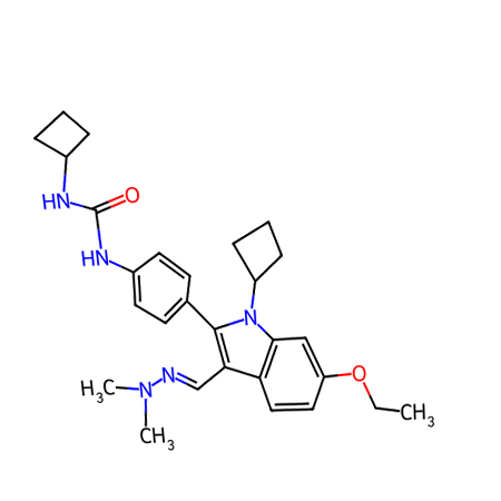 CCOc1ccc2c(C=NN(C)C)c(-c3ccc(NC(=O)NC4CCC4)cc3)n(C3CCC3)c2c1